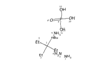 CCCCC(CC)(CC)CC.N.N.N.O=P(O)(O)O